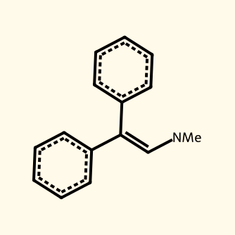 CNC=C(c1ccccc1)c1ccccc1